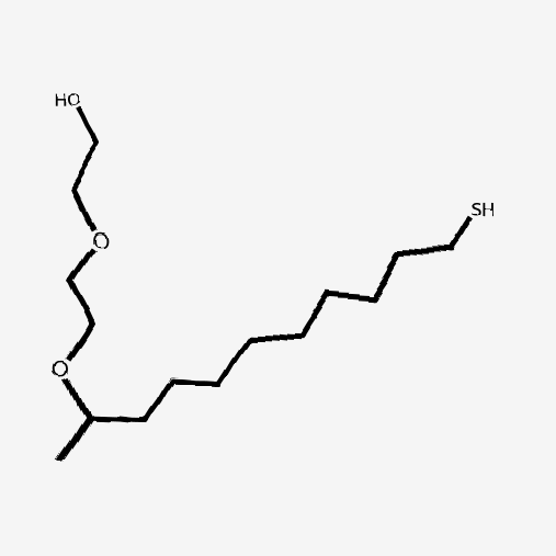 CC(CCCCCCCCCS)OCCOCCO